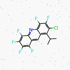 CC(C)c1c(Cl)c(F)c(F)c2nc3c(F)c(F)c(F)c(F)c3cc12